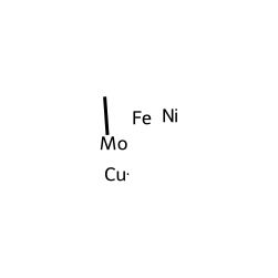 [CH3][Mo].[Cu].[Fe].[Ni]